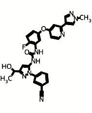 CC(O)c1cc(NC(=O)Nc2cc(Oc3ccnc(-c4cnn(C)c4)c3)ccc2F)n(-c2cccc(C#N)c2)n1